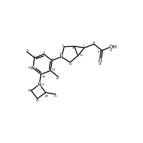 Cc1cc(N2CC3C(CC(=O)O)C3C2)c(C)c(N2CCC2C)n1